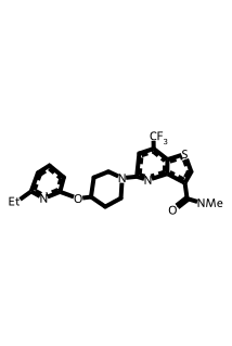 CCc1cccc(OC2CCN(c3cc(C(F)(F)F)c4scc(C(=O)NC)c4n3)CC2)n1